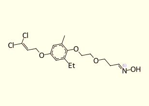 CCc1cc(OCC=C(Cl)Cl)cc(C)c1OCCOCC/C=N/O